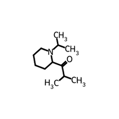 CC(C)C(=O)C1CCCCN1C(C)C